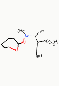 CCC[C@@H](C(CC(C)CC)C(=O)O)N(C=O)OC1CCCCO1